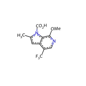 COc1ncc(C(F)(F)F)c2cc(C)n(C(=O)O)c12